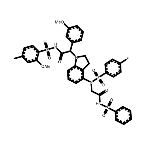 COc1cccc(C(C(=O)NS(=O)(=O)c2ccc(C)cc2OC)N2CCc3c2cccc3N(CC(=O)NS(=O)(=O)c2ccccc2)S(=O)(=O)c2ccc(F)cc2)c1